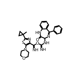 CC1(c2nc(C(=N)OC(=N)NC3N=C(c4ccccc4)c4ccccc4NC3=O)c(N3CCOCC3)s2)CC1